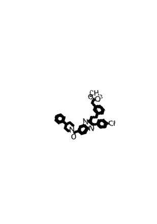 COC(=O)Cc1cccc(CCc2nc3cc(C(=O)N4CCC(c5ccccc5)CC4)ccc3nc2-c2ccc(Cl)cc2)c1